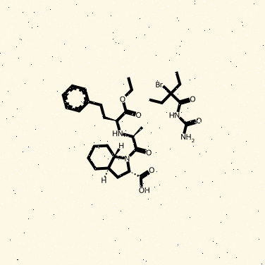 CCC(Br)(CC)C(=O)NC(N)=O.CCOC(=O)[C@H](CCc1ccccc1)N[C@@H](C)C(=O)N1[C@H](C(=O)O)C[C@H]2CCCC[C@@H]21